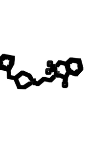 O=C1c2ccccc2CS(=O)(=O)N1CCCN1CCC(Cc2ccccc2)CC1